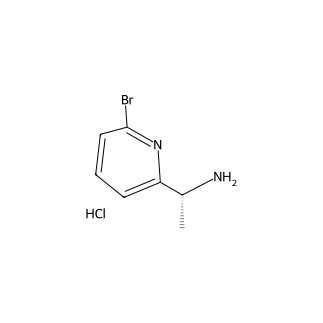 C[C@@H](N)c1cccc(Br)n1.Cl